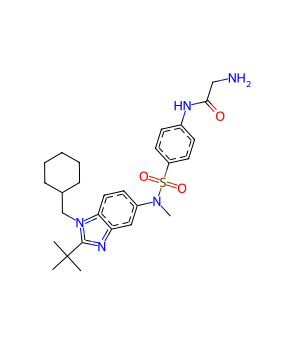 CN(c1ccc2c(c1)nc(C(C)(C)C)n2CC1CCCCC1)S(=O)(=O)c1ccc(NC(=O)CN)cc1